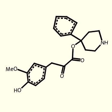 COc1cc(CC(=O)C(=O)OC2(c3ccccc3)CCNCC2)ccc1O